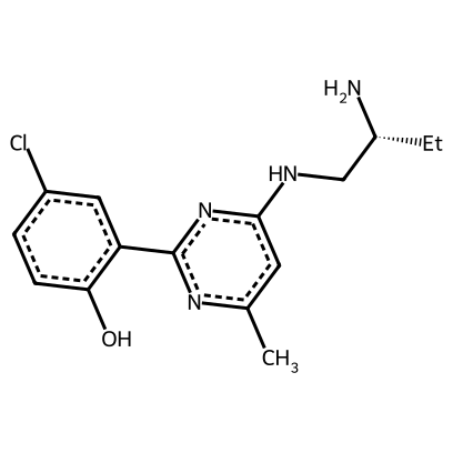 CC[C@@H](N)CNc1cc(C)nc(-c2cc(Cl)ccc2O)n1